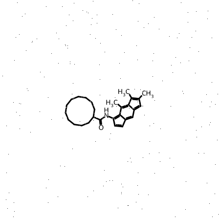 CC1=C(C)c2c(C)c3c(cc2=[C]1)C=CC=3NC(=O)C1CCCCCCCCCCC1